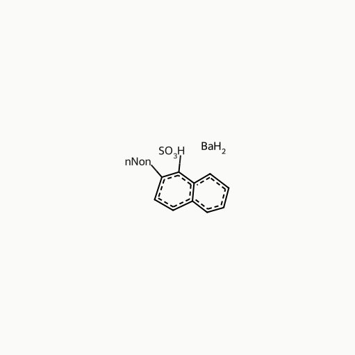 CCCCCCCCCc1ccc2ccccc2c1S(=O)(=O)O.[BaH2]